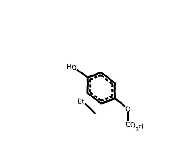 CCC.O=C(O)Oc1ccc(O)cc1